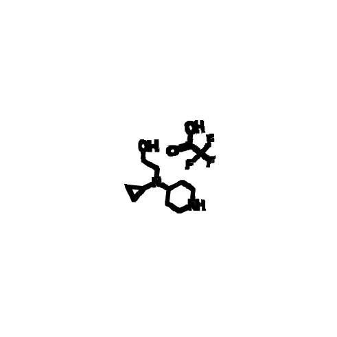 O=C(O)C(F)(F)F.OCCN(C1CCNCC1)C1CC1